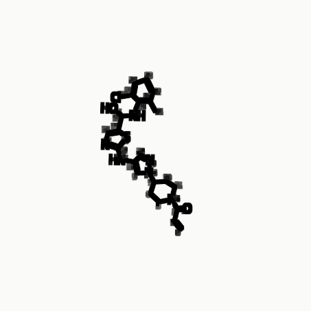 C=CC(=O)N1CCC(n2cc(Nc3ncc(C(O)Nc4c(C)cccc4Cl)s3)cn2)CC1